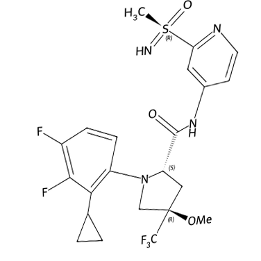 CO[C@]1(C(F)(F)F)C[C@@H](C(=O)Nc2ccnc([S@](C)(=N)=O)c2)N(c2ccc(F)c(F)c2C2CC2)C1